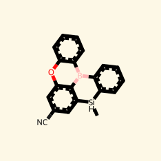 C[SiH]1c2ccccc2B2c3ccccc3Oc3cc(C#N)cc1c32